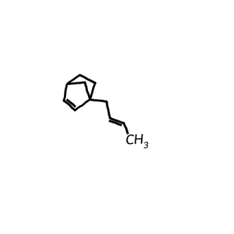 CC=CCC12C=CC(CC1)C2